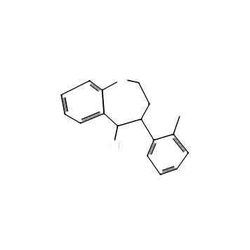 Cc1ccccc1C1CCOc2ccccc2C1O